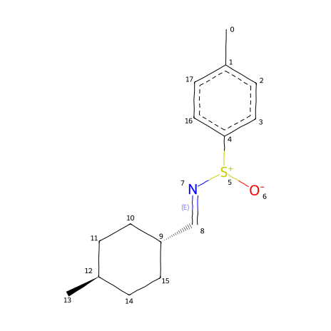 Cc1ccc([S+]([O-])/N=C/[C@H]2CC[C@H](C)CC2)cc1